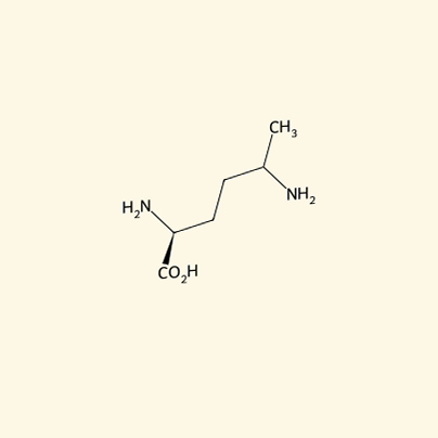 CC(N)CC[C@H](N)C(=O)O